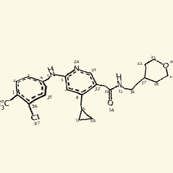 Cc1ccc(Nc2cc(C3CC3)c(C(=O)NCC3CCOCC3)cn2)cc1Cl